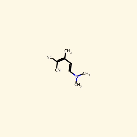 CC(/C=C/N(C)C)=C(C#N)C#N